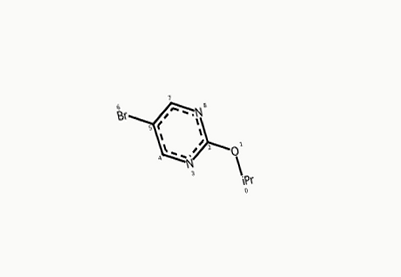 CC(C)Oc1ncc(Br)cn1